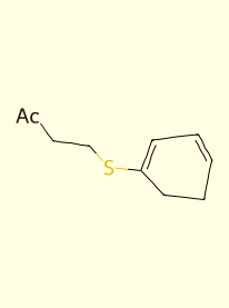 CC(=O)CCSC1=CC=CCC1